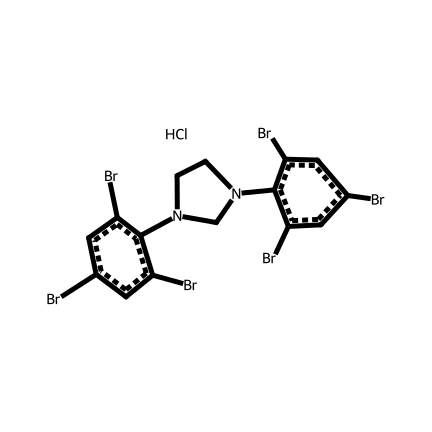 Brc1cc(Br)c(N2CCN(c3c(Br)cc(Br)cc3Br)C2)c(Br)c1.Cl